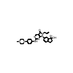 C=CCn1c(=O)c2cnc(Nc3ccc(N4CCN(C)CC4)cc3)nc2n1-c1ccc2c(c1)C(O)(CC)CC2